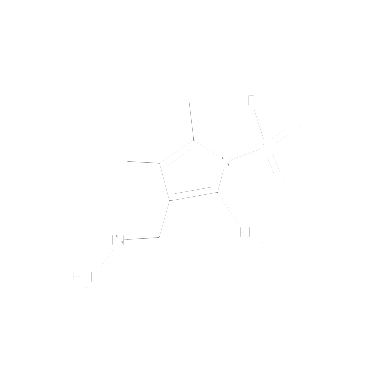 O=S(=O)(F)n1c(F)c(F)c(CNP)c1P